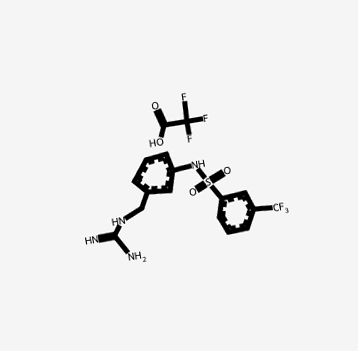 N=C(N)NCc1cccc(NS(=O)(=O)c2cccc(C(F)(F)F)c2)c1.O=C(O)C(F)(F)F